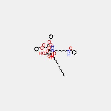 CCCCCCCCCCCCCC(=O)O[C@H]1[C@H](O)[C@@H](CO)O[C@H](OC(CC(=O)OCc2ccccc2)CC(=O)OCc2ccccc2)[C@H]1NC(=O)CCCCCCCNC(=O)c1ccccc1